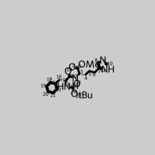 COC(=O)[C@H](CCCc1cnc[nH]1)NC(=O)[C@@H](Cc1ccccc1)NC(=O)OC(C)(C)C